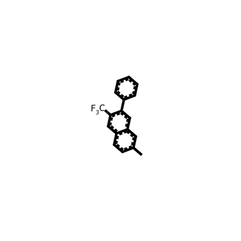 Cc1ccc2cc(C(F)(F)F)c(-c3ccccc3)cc2c1